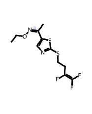 CCO/N=C(/C)c1cnc(SCCC(F)=C(F)F)s1